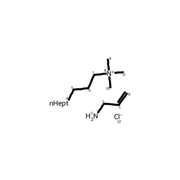 C=CCN.CCCCCCCCCC[N+](C)(C)C.[Cl-]